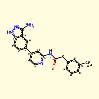 Nc1n[nH]c2ccc(-c3ccnc(NC(=O)Cc4cccc(C(F)(F)F)c4)c3)cc12